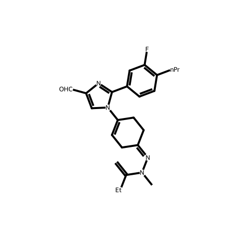 C=C(CC)N(C)/N=C1\CC=C(n2cc(C=O)nc2-c2ccc(CCC)c(F)c2)CC1